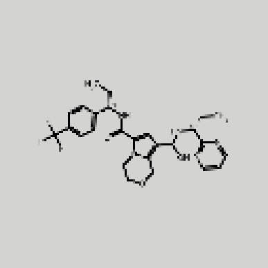 CC[C@@H](NC(=O)c1cc(C(O)N[C@H](CC)c2ncccn2)c2n1CCOC2)c1ccc(C(F)(F)F)cc1